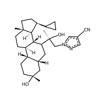 C[C@@]1(O)CC[C@H]2[C@H](CC([C@@](C)(O)Cn3cc(C#N)cn3)[C@@H]3[C@@H]2CC[C@]2(C)CC[C@@H](C4CC4)[C@@H]32)C1